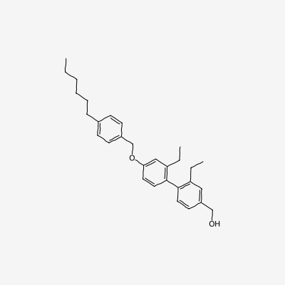 CCCCCCc1ccc(COc2ccc(-c3ccc(CO)cc3CC)c(CC)c2)cc1